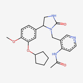 COc1ccc(C2CNC(=O)N2Cc2cnccc2NC(C)=O)cc1OC1CCCC1